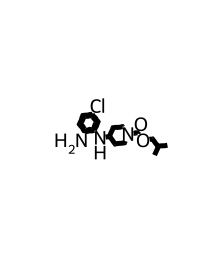 CC(C)COC(=O)N1CCC(Nc2cc(Cl)ccc2N)CC1